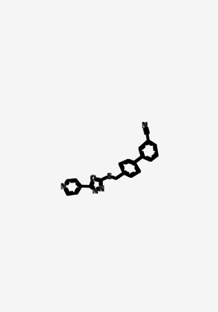 N#Cc1cccc(-c2ccc(CSc3nnc(-c4ccncc4)o3)cc2)c1